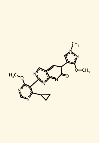 COc1nn(C)cc1C1C=c2cnc(-c3c(OC)ncnc3C3CC3)nc2=NC1=O